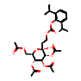 CC(=O)OC[C@H]1O[C@](O)(CCOC(=O)Oc2c(C(C)C)cccc2C(C)C)[C@H](OC(C)=O)[C@@H](OC(C)=O)[C@@H]1OC(C)=O